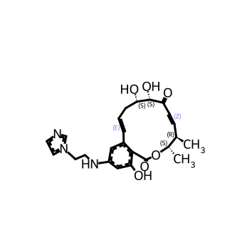 C[C@@H]1/C=C\C(=O)[C@@H](O)[C@@H](O)C/C=C/c2cc(NCCn3ccnc3)cc(O)c2C(=O)O[C@H]1C